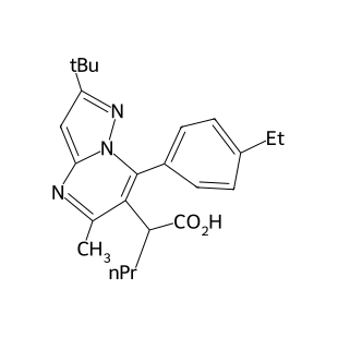 CCCC(C(=O)O)c1c(C)nc2cc(C(C)(C)C)nn2c1-c1ccc(CC)cc1